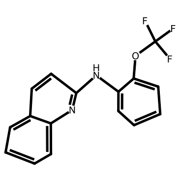 FC(F)(F)Oc1ccccc1Nc1ccc2ccccc2n1